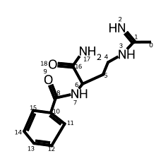 CC(=N)NCCC(NC(=O)c1ccccc1)C(N)=O